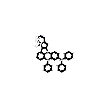 C/C=C\C1=CC2=C(c3cccc4c3B2c2ccc(N(c3ccccc3)c3ccccc3)cc2N4c2ccccc2)[Si]1(C)C